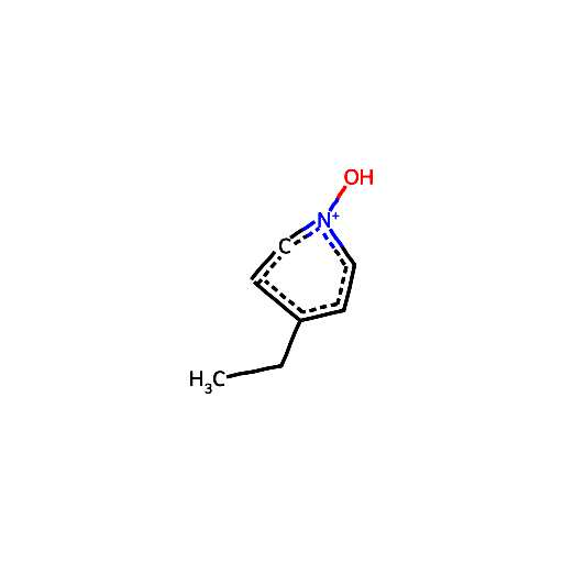 CCc1cc[n+](O)cc1